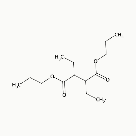 [CH2]CC(C(=O)OCCC)C(CC)C(=O)OCCC